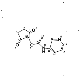 O=C1CCC(=O)N1OC(=S)Nc1cccnc1